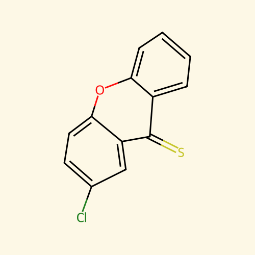 S=c1c2ccccc2oc2ccc(Cl)cc12